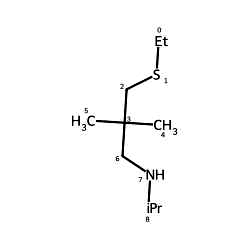 CCSCC(C)(C)CNC(C)C